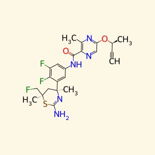 C#C[C@H](C)Oc1cnc(C(=O)Nc2cc(F)c(F)c([C@]3(C)C[C@](C)(CF)SC(N)=N3)c2)c(C)n1